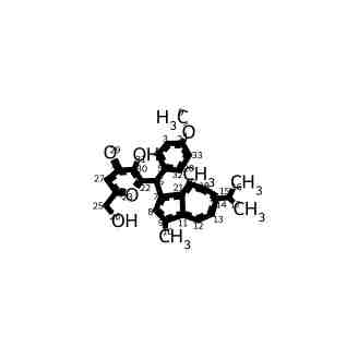 COc1ccc(C(c2cc(C)c3ccc(C(C)C)cc(C)c2-3)c2oc(CO)cc(=O)c2O)cc1